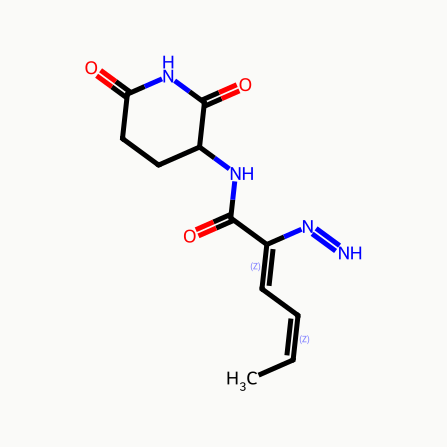 C/C=C\C=C(/N=N)C(=O)NC1CCC(=O)NC1=O